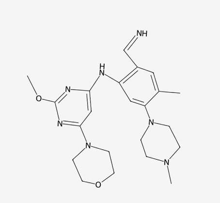 COc1nc(Nc2cc(N3CCN(C)CC3)c(C)cc2C=N)cc(N2CCOCC2)n1